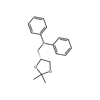 CC1(C)OC[C@@H](CP(c2ccccc2)c2ccccc2)O1